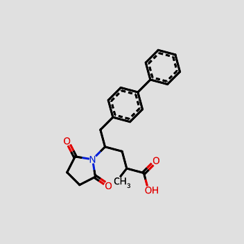 CC(CC(Cc1ccc(-c2ccccc2)cc1)N1C(=O)CCC1=O)C(=O)O